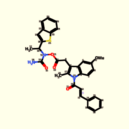 COc1ccc2c(c1)c(CC(=O)ON(C(N)=O)C(C)c1cc3ccccc3s1)c(C)n2C(=O)/C=C/c1ccccc1